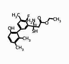 CCOC(=O)C[C@](N)(S)c1cc(-c2c(O)ccc(C)c2C)cc(C)c1F